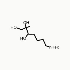 CCCCCCCCCCC(O)C(C)(O)CO